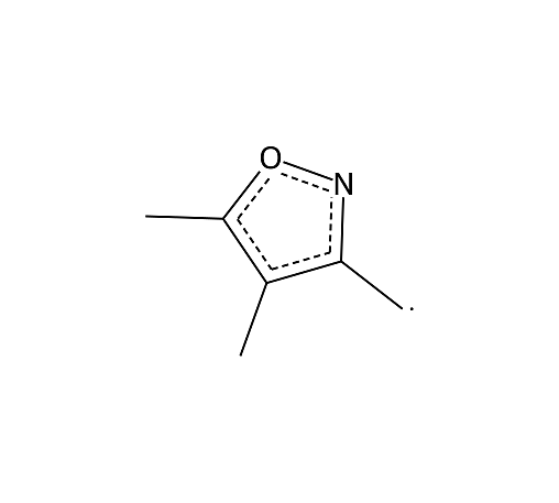 [CH2]c1noc(C)c1C